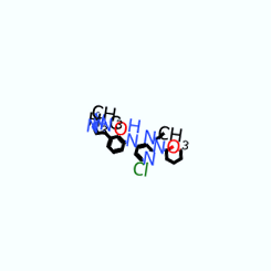 COc1c(Nc2cc(Cl)nc3c2nc(C)n3C2CCCCO2)cccc1-c1cnn(C)n1